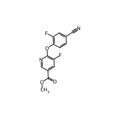 COC(=O)c1cnc(Oc2ccc(C#N)cc2F)c(F)c1